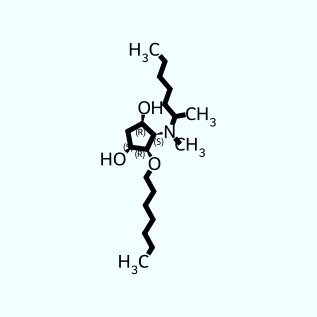 CCCCCCCO[C@@H]1[C@@H](N(C)C(C)CCCCC)[C@H](O)C[C@@H]1O